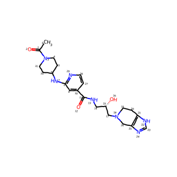 CC(=O)N1CCC(Nc2cc(C(=O)NC[C@H](O)CN3CCc4[nH]cnc4C3)ccn2)CC1